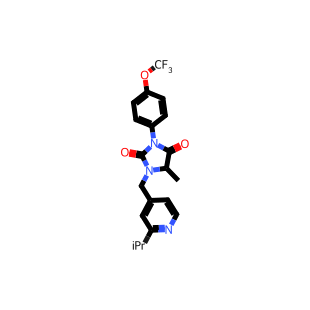 CC(C)c1cc(CN2C(=O)N(c3ccc(OC(F)(F)F)cc3)C(=O)C2C)ccn1